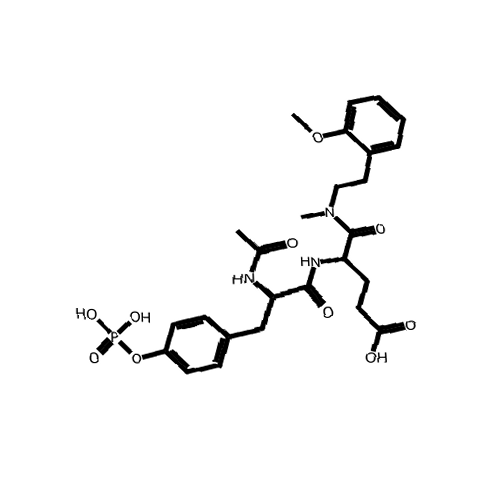 COc1ccccc1CCN(C)C(=O)C(CCC(=O)O)NC(=O)C(Cc1ccc(OP(=O)(O)O)cc1)NC(C)=O